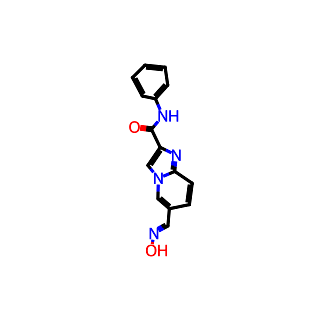 O=C(Nc1ccccc1)c1cn2cc(C=NO)ccc2n1